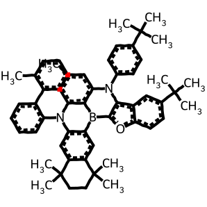 Cc1cc2c3c(c1)N(c1ccc(C(C)(C)C)cc1)c1c(oc4ccc(C(C)(C)C)cc14)B3c1cc3c(cc1N2c1ccccc1-c1ccccc1C)C(C)(C)CCC3(C)C